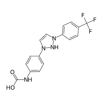 O=C(O)Nc1ccc(N2C=CN(c3ccc(C(F)(F)F)cc3)N2)cc1